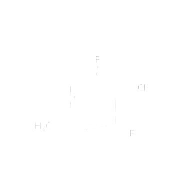 Cc1cc(F)c(C(F)(F)F)c(F)c1